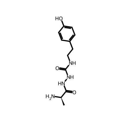 C[C@@H](N)C(=O)NNC(=O)NCCc1ccc(O)cc1